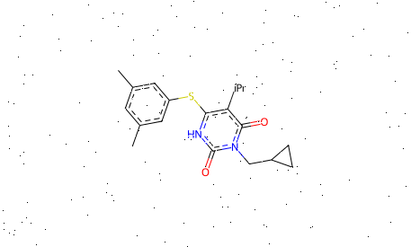 Cc1cc(C)cc(Sc2[nH]c(=O)n(CC3CC3)c(=O)c2C(C)C)c1